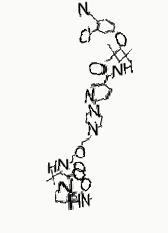 CNC(=O)[C@@H]1CCCN1C(=O)C(NC(=O)COCCN1CCN(c2ccc(C(=O)N[C@H]3C(C)(C)[C@H](Oc4ccc(C#N)c(Cl)c4)C3(C)C)cn2)CC1)C(C)(C)C